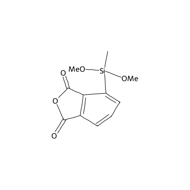 CO[Si](C)(OC)c1cccc2c1C(=O)OC2=O